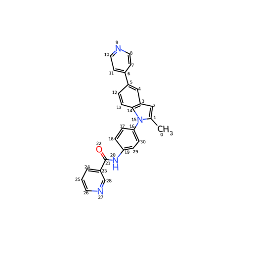 Cc1cc2cc(-c3ccncc3)ccc2n1-c1ccc(NC(=O)c2cccnc2)cc1